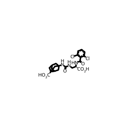 O=C(NC[C@H](NC(=O)c1c(Cl)cccc1Cl)C(=O)O)NC12CC3CC(C1)C(C(=O)O)(C3)C2